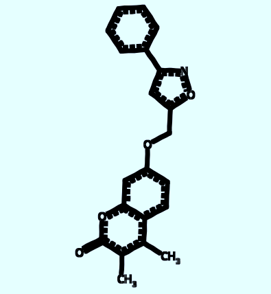 Cc1c(C)c2ccc(OCc3cc(-c4ccccc4)no3)cc2oc1=O